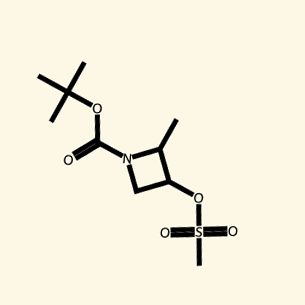 CC1C(OS(C)(=O)=O)CN1C(=O)OC(C)(C)C